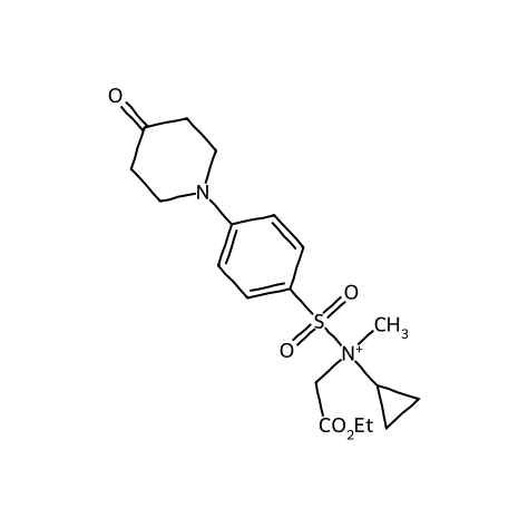 CCOC(=O)C[N+](C)(C1CC1)S(=O)(=O)c1ccc(N2CCC(=O)CC2)cc1